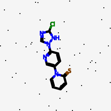 S=c1ccccn1-c1ccc(N2C=NC(Cl)N2)nc1